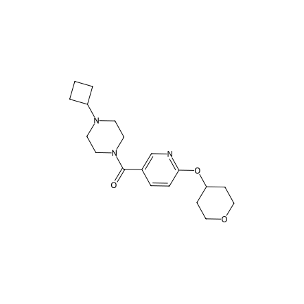 O=C(c1ccc(OC2CCOCC2)nc1)N1CCN(C2CCC2)CC1